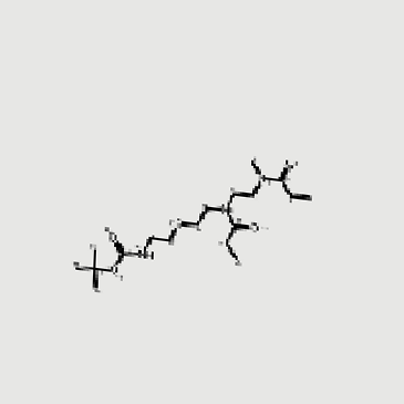 CCC(=O)N(C)CCN(CCSCCNC(=O)OC(C)(C)C)C(=O)CC